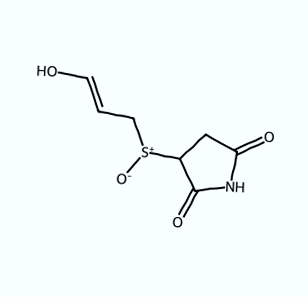 O=C1CC([S+]([O-])CC=CO)C(=O)N1